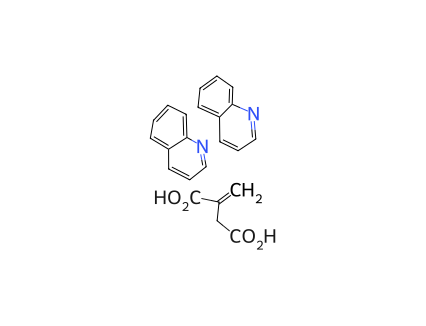 C=C(CC(=O)O)C(=O)O.c1ccc2ncccc2c1.c1ccc2ncccc2c1